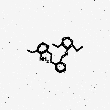 CCc1cccc(CCc2ccccc2C=Nc2c(CC)cccc2CC)c1N